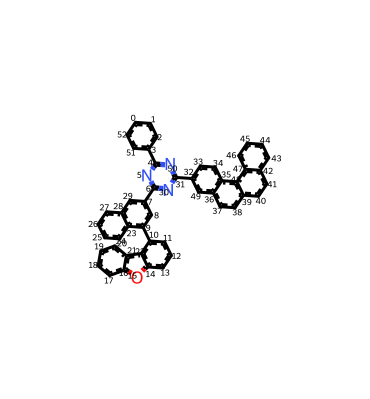 c1ccc(-c2nc(-c3cc(-c4cccc5oc6ccccc6c45)c4ccccc4c3)nc(-c3ccc4c(ccc5ccc6ccccc6c54)c3)n2)cc1